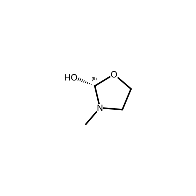 CN1CCO[C@H]1O